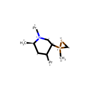 CC(C)C1C[C@@H](C)N(C(C)C)CC1S1(C)CS1